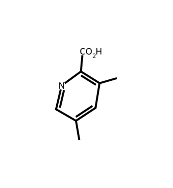 Cc1cnc(C(=O)O)c(C)c1